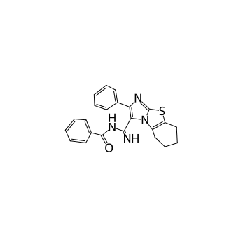 N=C(NC(=O)c1ccccc1)c1c(-c2ccccc2)nc2sc3c(n12)CCCC3